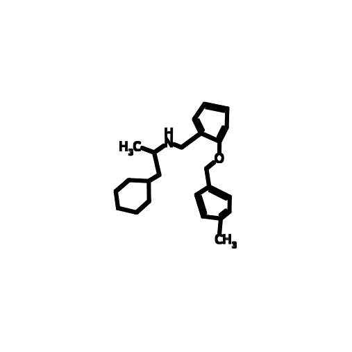 Cc1ccc(COc2ccccc2CNC(C)CC2CCCCC2)cc1